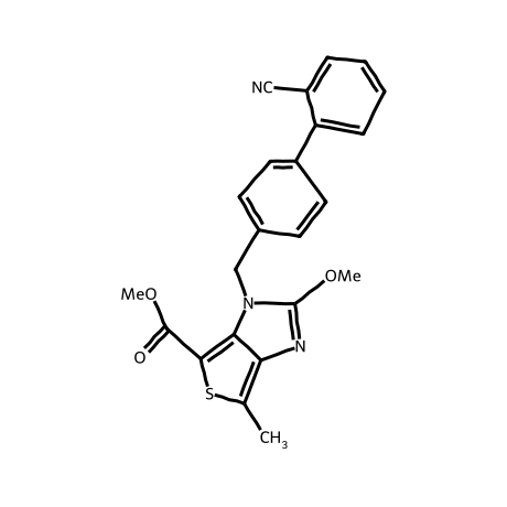 COC(=O)c1sc(C)c2nc(OC)n(Cc3ccc(-c4ccccc4C#N)cc3)c12